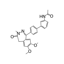 COc1cc2c(cc1OC)C(c1ccc(-c3cccc(NC(C)=O)c3)cc1)=NN(C)C(=O)C2